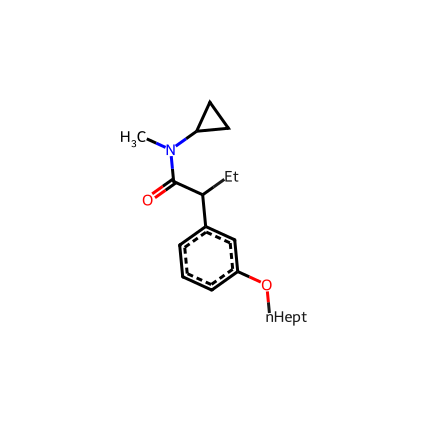 CCCCCCCOc1cccc(C(CC)C(=O)N(C)C2CC2)c1